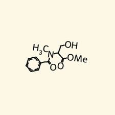 COC(=O)C(CO)N(C)C(=O)c1ccccc1